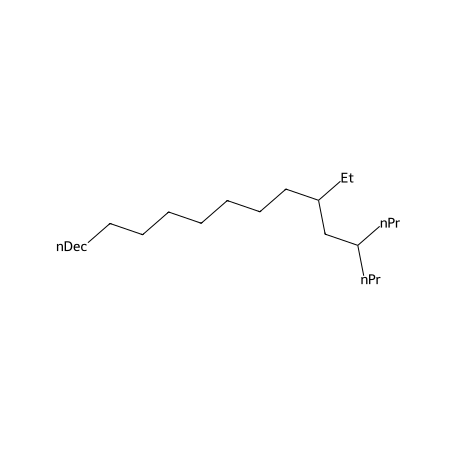 CCCCCCCCCCCCCCCCCC(CC)CC(CCC)CCC